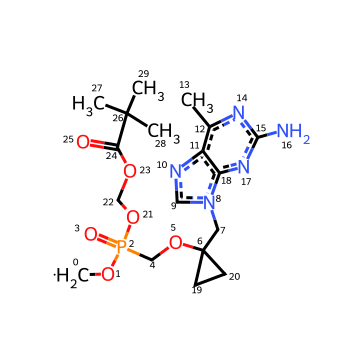 [CH2]OP(=O)(COC1(Cn2cnc3c(C)nc(N)nc32)CC1)OCOC(=O)C(C)(C)C